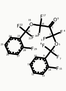 O=C(C(F)(F)OC(F)(F)c1ccccc1F)C(F)(F)OC(F)(F)c1ccccc1F